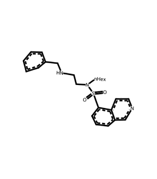 CCCCCCN(CCNCc1ccccc1)S(=O)(=O)c1cccc2cnccc12